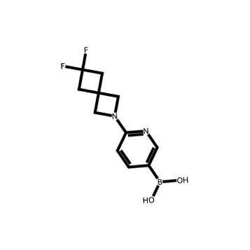 OB(O)c1ccc(N2CC3(C2)CC(F)(F)C3)nc1